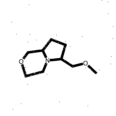 COCC1CCC2COCCN12